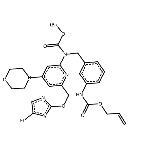 C=CCOC(=O)Nc1cccc(CN(C(=O)OC(C)(C)C)c2cc(N3CCOCC3)cc(COc3ncc(CC)s3)n2)c1